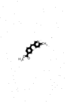 COC(=O)c1ccc(Cc2ccc(C)nc2)cc1